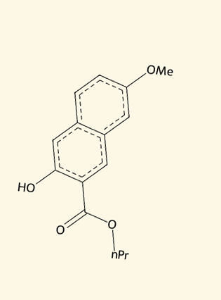 CCCOC(=O)c1cc2cc(OC)ccc2cc1O